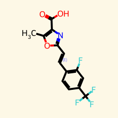 Cc1oc(/C=C/c2ccc(C(F)(F)F)cc2F)nc1C(=O)O